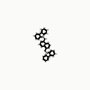 c1cc(Cn2c3ccccc3c3ccccc32)c2cccc(Cn3c4ccccc4c4ccccc43)c2c1